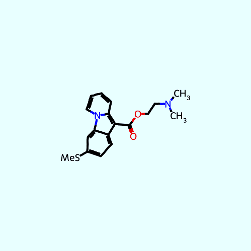 CSc1ccc2c(C(=O)OCCN(C)C)c3ccccn3c2c1